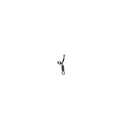 [KH].[O]=[Al][F]